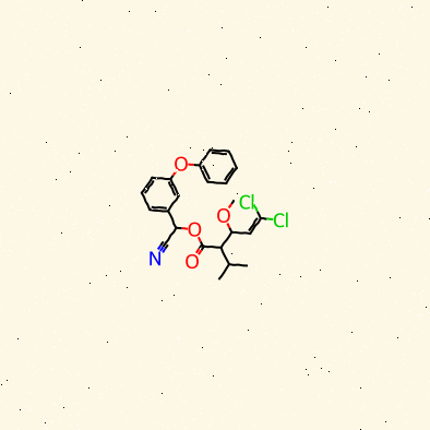 COC(C=C(Cl)Cl)C(C(=O)OC(C#N)c1cccc(Oc2ccccc2)c1)C(C)C